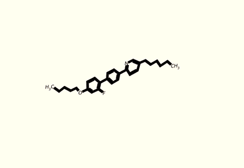 CCCCCCc1ccc(-c2ccc(-c3ccc(OCCCCC)cc3F)cc2)nc1